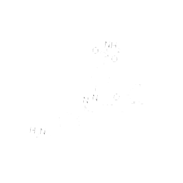 NCc1ccc(C2=NN(c3ccc(S(N)(=O)=O)cc3)C(C3CCc4ccccc4O3)C2)cc1